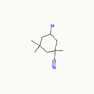 CC1(C)CC([N])CC(C)(C#N)C1